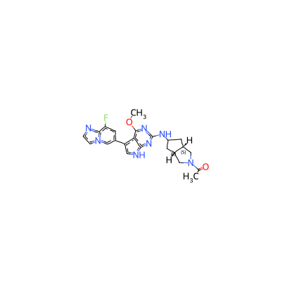 COc1nc(NC2C[C@@H]3CN(C(C)=O)C[C@@H]3C2)nc2[nH]cc(-c3cc(F)c4nccn4c3)c12